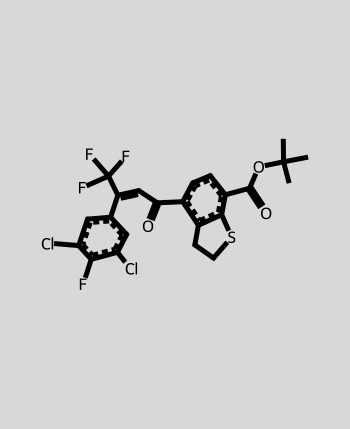 CC(C)(C)OC(=O)c1ccc(C(=O)/C=C(\c2cc(Cl)c(F)c(Cl)c2)C(F)(F)F)c2c1SCC2